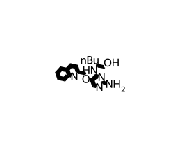 CCCCC(CO)Nc1nc(N)ncc1OCc1ccc2ccccc2n1